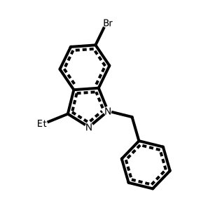 CCc1nn(Cc2ccccc2)c2cc(Br)ccc12